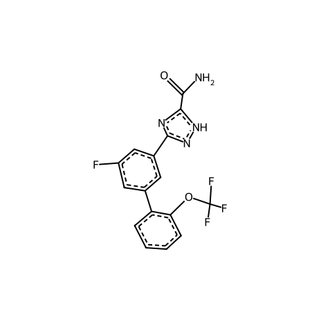 NC(=O)c1nc(-c2cc(F)cc(-c3ccccc3OC(F)(F)F)c2)n[nH]1